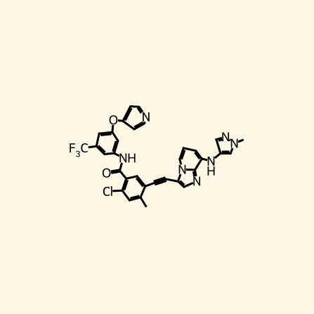 Cc1cc(Cl)c(C(=O)Nc2cc(Oc3ccncc3)cc(C(F)(F)F)c2)cc1C#Cc1cnc2c(Nc3cnn(C)c3)cccn12